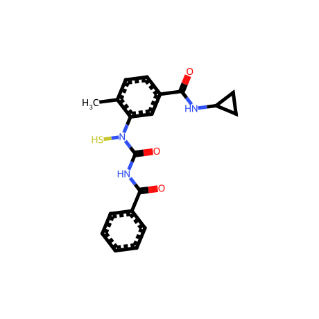 Cc1ccc(C(=O)NC2CC2)cc1N(S)C(=O)NC(=O)c1ccccc1